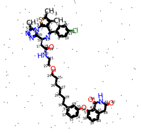 Cc1sc2c(c1C)C(c1ccc(Cl)cc1)=N[C@@H](CC(=O)NCCOCCCCCCCc1cccc(Oc3cccc4c3C(=O)NC(=O)C4)c1)c1nnc(C)n1-2